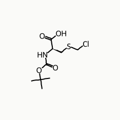 CC(C)(C)OC(=O)N[C@H](CSCCl)C(=O)O